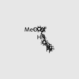 COc1ccc2c(c1)c(CCNCc1cccc(OCC(F)(F)C(F)F)c1)cn2C